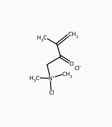 C=C(C)C(=O)C[N+](C)(C)Cl.[Cl-]